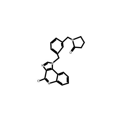 O=C1CCCN1Cc1cccc(Cn2cnc3c(Cl)nc4ccccc4c32)c1